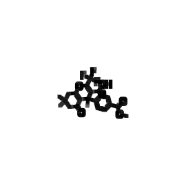 COC(=O)c1ccc(C2(C)C3=C(CC(C)(C)CC3=O)OC(C(F)(F)F)=C2C(=O)O)cc1